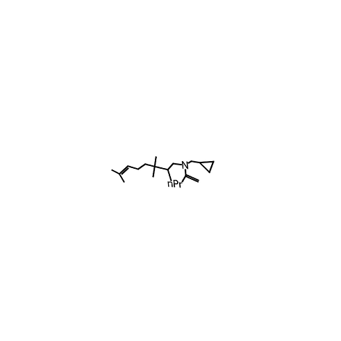 C=C(CCC)N(CC1CC1)CC(C)C(C)(C)CCC=C(C)C